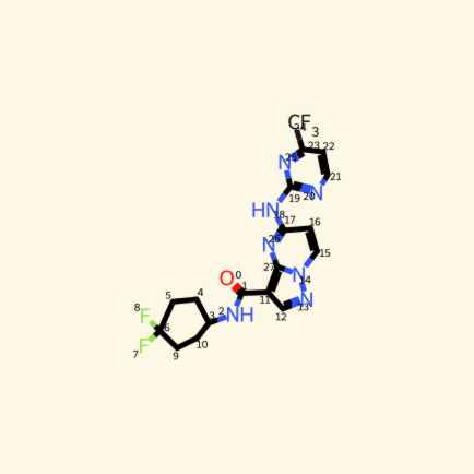 O=C(NC1CCC(F)(F)CC1)c1cnn2ccc(Nc3nccc(C(F)(F)F)n3)nc12